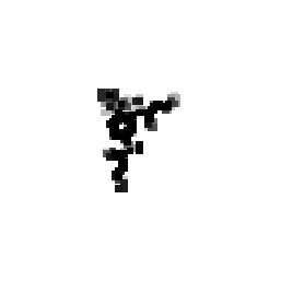 O=C(CCCl)Nc1ccc(S(=O)(=O)O)c(NC(=O)CCCl)c1